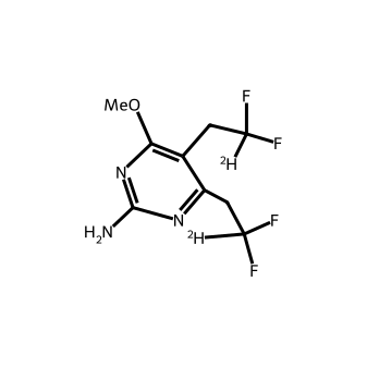 [2H]C(F)(F)Cc1nc(N)nc(OC)c1CC([2H])(F)F